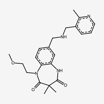 COCCN1C(=O)C(C)(C)C(=O)Nc2cc(CNCc3cccnc3C)ccc21